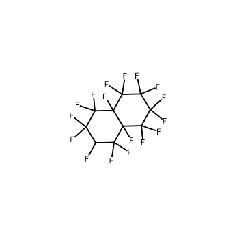 FC1C(F)(F)C(F)(F)C2(F)C(F)(F)C(F)(F)C(F)(F)C(F)(F)C2(F)C1(F)F